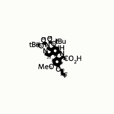 COc1ccc(C(Nc2ccc3c(N(C(=O)OC(C)(C)C)C(=O)OC(C)(C)C)nccc3c2)C(=O)O)cc1OCCF